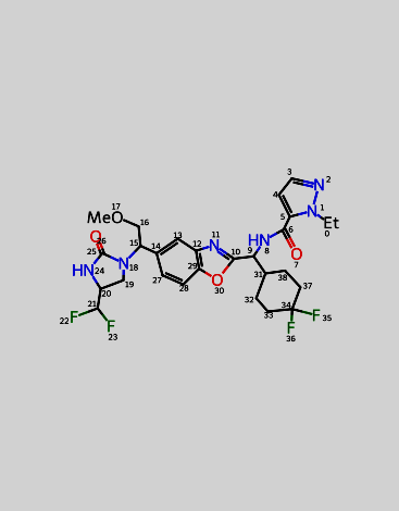 CCn1nccc1C(=O)NC(c1nc2cc(C(COC)N3CC(C(F)F)NC3=O)ccc2o1)C1CCC(F)(F)CC1